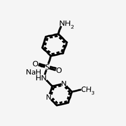 Cc1ccnc(NS(=O)(=O)c2ccc(N)cc2)n1.[NaH]